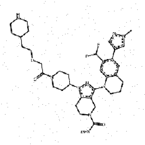 CNC(=O)N1CCc2c(c(N3CCCc4cc(-c5cnn(C)c5)c(C(F)F)cc43)nn2C2CCN(C(=O)COCCC3CCNCC3)CC2)C1